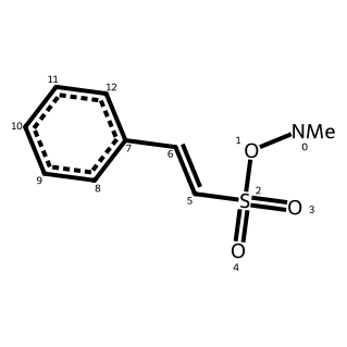 CNOS(=O)(=O)C=Cc1ccccc1